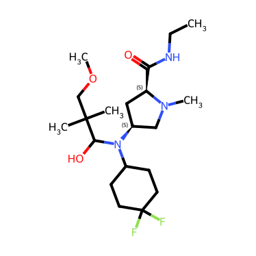 CCNC(=O)[C@@H]1C[C@H](N(C2CCC(F)(F)CC2)C(O)C(C)(C)COC)CN1C